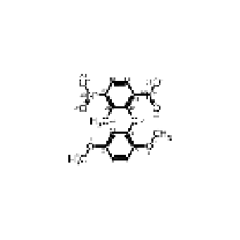 COc1ccc(OC)c(Oc2c([N+](=O)[O-])ccc([N+](=O)[O-])c2C)c1